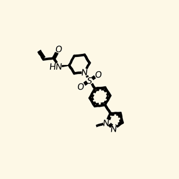 C=CC(=O)N[C@H]1CCCN(S(=O)(=O)c2ccc(-c3ccnn3C)cc2)C1